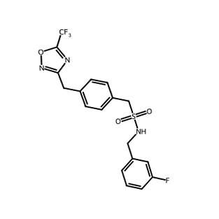 O=S(=O)(Cc1ccc(Cc2noc(C(F)(F)F)n2)cc1)NCc1cccc(F)c1